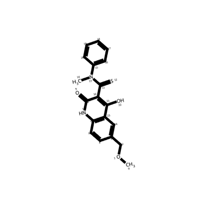 COCc1ccc2[nH]c(=O)c(C(=S)N(C)c3ccccc3)c(O)c2c1